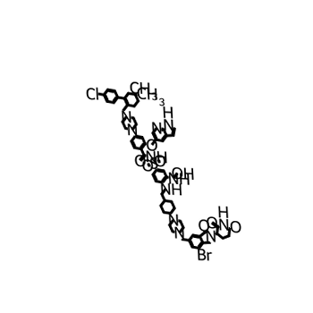 CC1(C)CCC(CN2CCN(c3ccc(C(=O)NS(=O)(=O)c4ccc(NCC5CCC(N6CCN(Cc7cc(Br)c8c(c7)C(=O)N(C7CCC(=O)NC7=O)C8)CC6)CC5)c(NO)c4)c(Oc4cnc5[nH]ccc5c4)c3)CC2)=C(c2ccc(Cl)cc2)C1